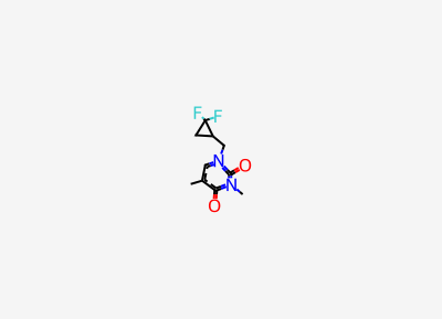 Cc1cn(CC2CC2(F)F)c(=O)n(C)c1=O